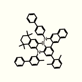 Cc1ccc(-c2ccccc2)cc1N1c2cc3c(cc2B2c4c(cc(-c5c(C)cccc5C)cc41)-c1cc4ccccc4cc1N2c1ccc(-c2ccccc2)cc1)C(C)(C)CCC3(C)C